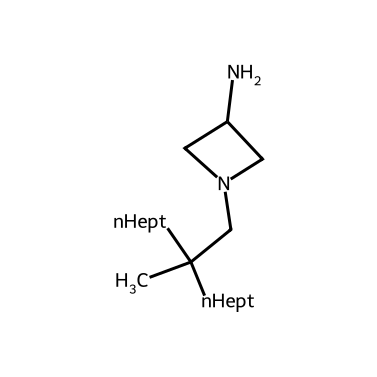 CCCCCCCC(C)(CCCCCCC)CN1CC(N)C1